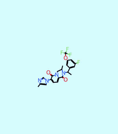 Cc1cn(-c2ccc3n(c2=O)CC(C)N(C(C)c2cc(F)cc(OC(F)(F)F)c2)C3=O)cn1